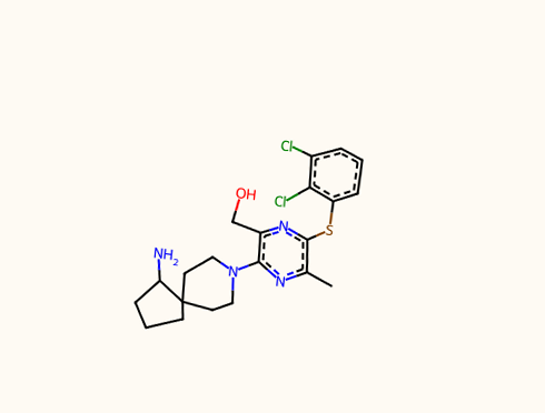 Cc1nc(N2CCC3(CCCC3N)CC2)c(CO)nc1Sc1cccc(Cl)c1Cl